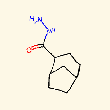 NNC(=O)C1CCC2CCC1C2